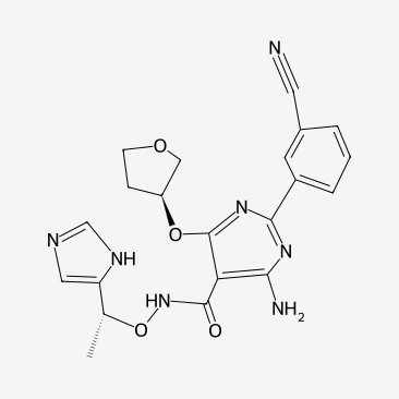 C[C@@H](ONC(=O)c1c(N)nc(-c2cccc(C#N)c2)nc1O[C@H]1CCOC1)c1cnc[nH]1